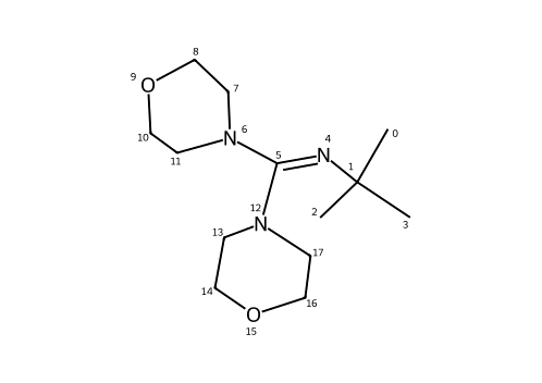 CC(C)(C)N=C(N1CCOCC1)N1CCOCC1